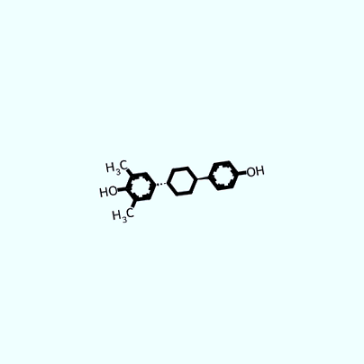 Cc1cc([C@H]2CC[C@H](c3ccc(O)cc3)CC2)cc(C)c1O